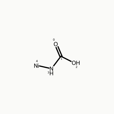 O=C(O)[NH][Ni]